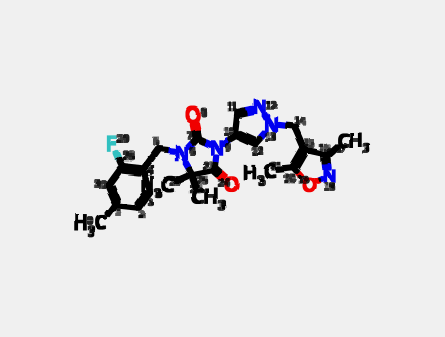 Cc1ccc(CN2C(=O)N(c3cnn(Cc4c(C)noc4C)c3)C(=O)C2(C)C)c(F)c1